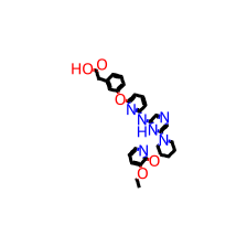 CCOc1cccnc1OC1CCCN(c2cncc(Nc3cccc(Oc4cccc(CC(=O)O)c4)n3)n2)C1